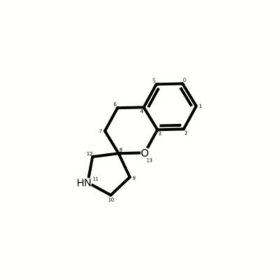 c1ccc2c(c1)CCC1(CCNC1)O2